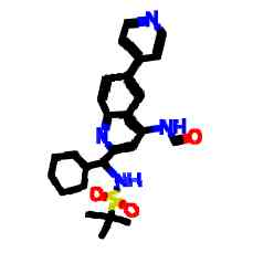 CC(C)(C)S(=O)(=O)NC(c1cc(NC=O)c2cc(-c3ccncc3)ccc2n1)C1CCCCC1